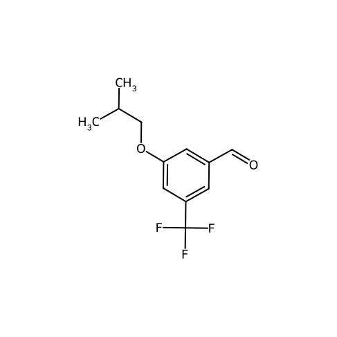 CC(C)COc1cc(C=O)cc(C(F)(F)F)c1